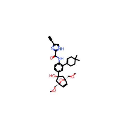 C#Cc1c[nH]c(C(=O)Nc2ccc([C@]3(O)C[C@@]4(COC)C=C[C@@](COC)(C3)O4)cc2C2=CCC(C)(C)CC2)n1